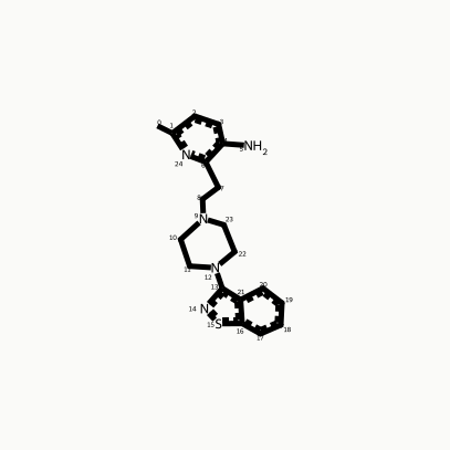 Cc1ccc(N)c(CCN2CCN(c3nsc4ccccc34)CC2)n1